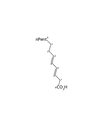 CCCCCCC/C=C/C=C/CC(=O)O